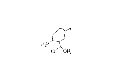 BC1CCC(I)CC1C(O)Cl